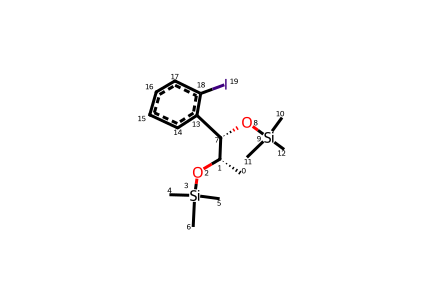 C[C@H](O[Si](C)(C)C)[C@@H](O[Si](C)(C)C)c1ccccc1I